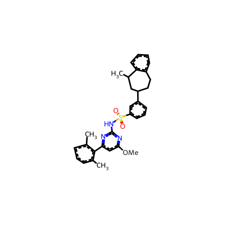 COc1cc(-c2c(C)cccc2C)nc(NS(=O)(=O)c2cccc(C3CCc4ccccc4C(C)C3)c2)n1